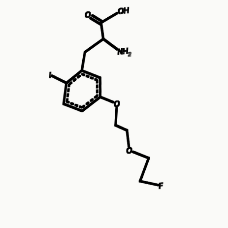 NC(Cc1cc(OCCOCCF)ccc1I)C(=O)O